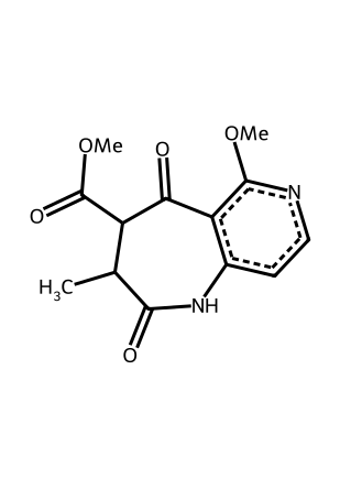 COC(=O)C1C(=O)c2c(ccnc2OC)NC(=O)C1C